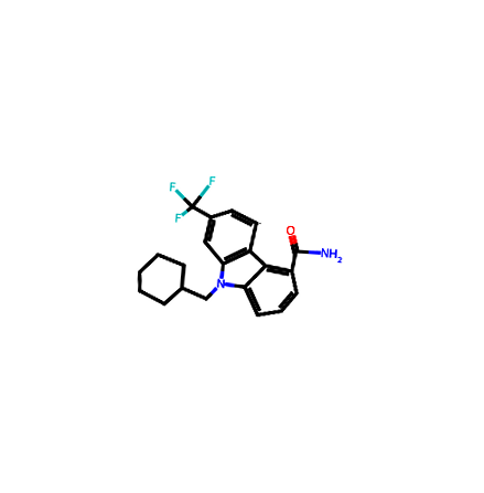 NC(=O)c1cccc2c1c1[c]cc(C(F)(F)F)cc1n2CC1CCCCC1